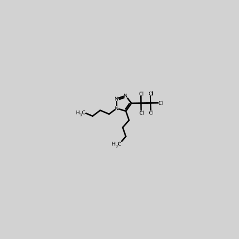 CCCCc1c(C(Cl)(Cl)C(Cl)(Cl)Cl)nnn1CCCC